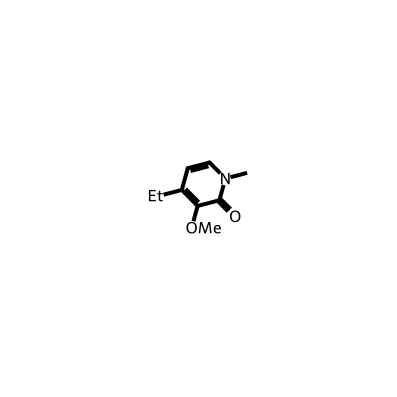 CCc1ccn(C)c(=O)c1OC